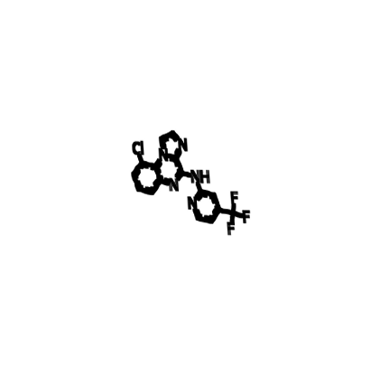 FC(F)(F)c1ccnc(Nc2nc3cccc(Cl)c3n3ccnc23)c1